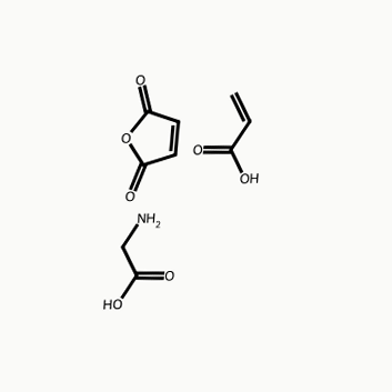 C=CC(=O)O.NCC(=O)O.O=C1C=CC(=O)O1